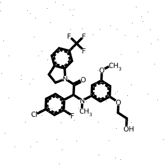 COc1cc(OCCO)cc(N(C)C(C(=O)N2CCc3ccc(C(F)(F)F)cc32)c2ccc(Cl)cc2F)c1